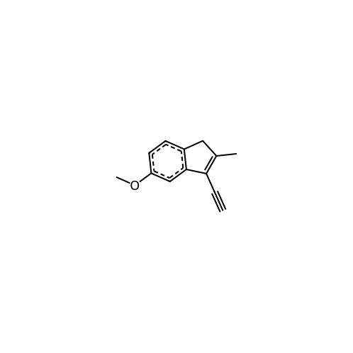 C#CC1=C(C)Cc2ccc(OC)cc21